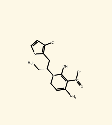 CC[C@H](Cc1sccc1Cl)N1CC=C(N)C([N+](=O)[O-])=C1O